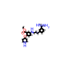 CCOC(=O)c1cc(NC/C=C/c2cccc(C(=N)N)c2)ccc1OC1CCNCC1